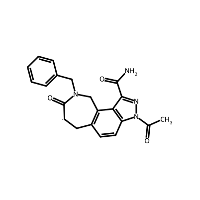 CC(=O)n1nc(C(N)=O)c2c3c(ccc21)C[CH]C(=O)N(Cc1ccccc1)C3